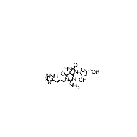 Nc1nc2c([nH]c(=O)n2[C@@H]2O[C@H](CO)C[C@H]2O)c(=O)n1C/C=C/c1nnn[nH]1